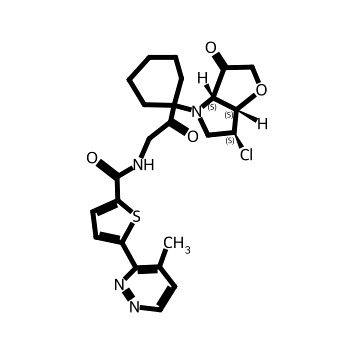 Cc1ccnnc1-c1ccc(C(=O)NCC(=O)C2(N3C[C@H](Cl)[C@H]4OCC(=O)[C@H]43)CCCCC2)s1